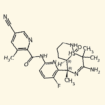 Cc1cc(C#N)cnc1C(=O)Nc1ccc(F)c([C@@]2(C)N=C(N)C(C)(C)[SH]3(=O)NCCC[C@H]23)n1